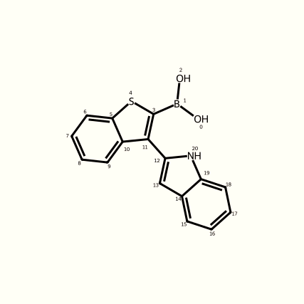 OB(O)c1sc2ccccc2c1-c1cc2ccccc2[nH]1